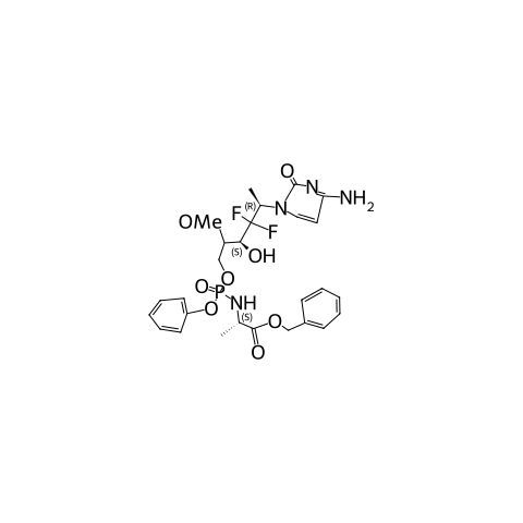 COC(COP(=O)(N[C@@H](C)C(=O)OCc1ccccc1)Oc1ccccc1)[C@H](O)C(F)(F)[C@@H](C)n1ccc(N)nc1=O